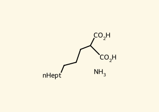 CCCCCCCCCCC(C(=O)O)C(=O)O.N